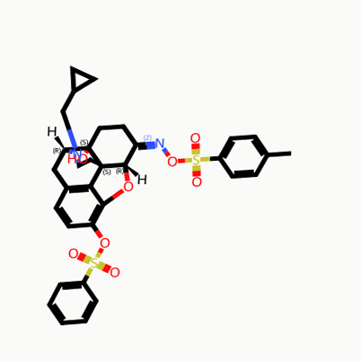 Cc1ccc(S(=O)(=O)O/N=C2/CC[C@@]3(O)[C@H]4Cc5ccc(OS(=O)(=O)c6ccccc6)c6c5[C@@]3(CCN4CC3CC3)[C@H]2O6)cc1